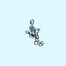 CC1(COCC(NC(=O)OC(C)(C)C)C(=O)N2CCCC(C(=O)OCC(Cl)(Cl)Cl)N2)COC1